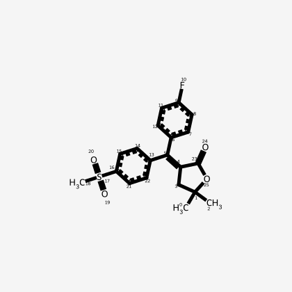 CC1(C)C/C(=C(/c2ccc(F)cc2)c2ccc(S(C)(=O)=O)cc2)C(=O)O1